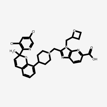 CC1(c2ncc(Cl)cc2Cl)C=Cc2cccc(C3CCN(Cc4nc5ccc(C(=O)O)nc5n4CC4CCO4)CC3)c2O1